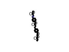 C=CC(=O)OCOc1ccc(CCC(=O)Oc2ccc(/C=C/C(=O)OC)cc2)cc1